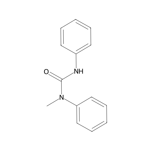 CN(C(=O)Nc1ccccc1)c1ccccc1